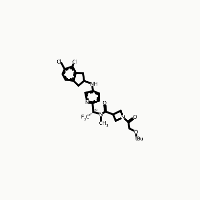 CN(C(=O)C1CN(C(=O)COC(C)(C)C)C1)[C@@H](c1ccc(NC2Cc3ccc(Cl)c(Cl)c3C2)cn1)C(F)(F)F